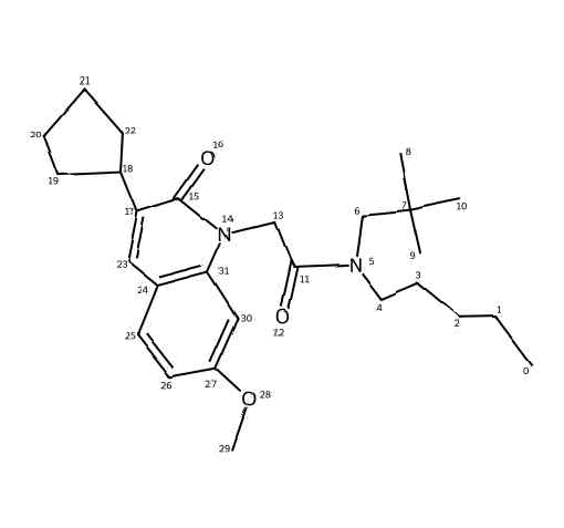 CCCCCN(CC(C)(C)C)C(=O)Cn1c(=O)c(C2CCCC2)cc2ccc(OC)cc21